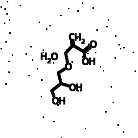 C=C(COCC(O)CO)C(=O)O.O